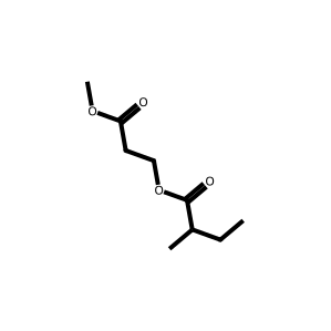 CCC(C)C(=O)OCCC(=O)OC